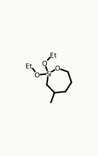 CCO[Si]1(OCC)CC(C)CCCO1